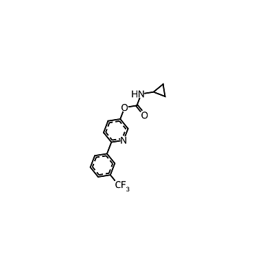 O=C(NC1CC1)Oc1ccc(-c2cccc(C(F)(F)F)c2)nc1